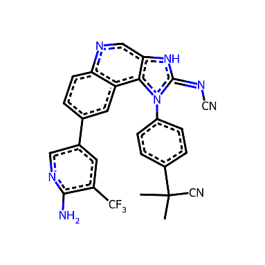 CC(C)(C#N)c1ccc(-n2c(=NC#N)[nH]c3cnc4ccc(-c5cnc(N)c(C(F)(F)F)c5)cc4c32)cc1